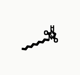 CCCCCCCCCCN1C(=O)CNC1=O